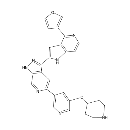 c1cc2[nH]c(-c3n[nH]c4cnc(-c5cncc(OC6CCNCC6)c5)cc34)cc2c(-c2ccoc2)n1